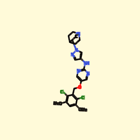 COc1cc(OC)c(Cl)c(COc2cnc(Nc3cnn(C4CN5CCC4CC5)c3)nc2)c1Cl